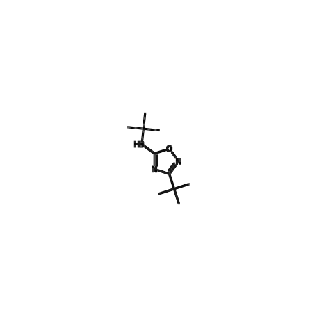 CC(C)(C)Bc1nc(C(C)(C)C)no1